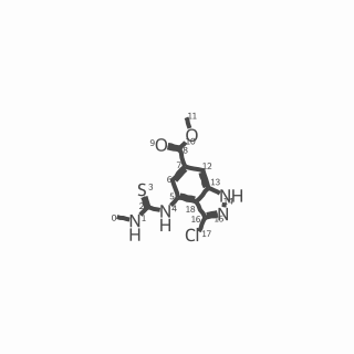 CNC(=S)Nc1cc(C(=O)OC)cc2[nH]nc(Cl)c12